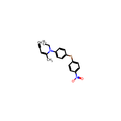 C#C/C=C(/C)N(CC)c1ccc(Sc2ccc([N+](=O)[O-])cc2)cc1